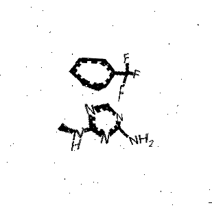 CNc1ncnc(N)n1.FC(F)(F)c1ccccc1